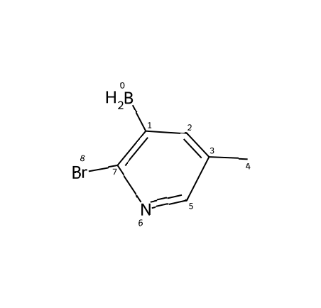 Bc1cc(C)cnc1Br